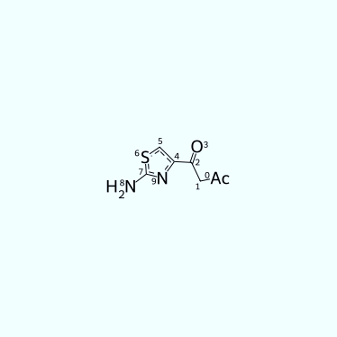 CC(=O)CC(=O)c1csc(N)n1